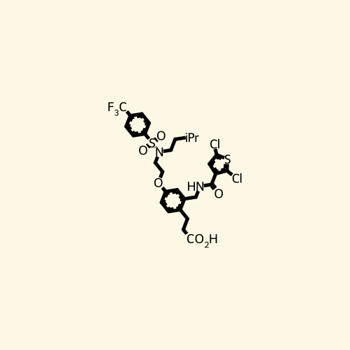 CC(C)CCN(CCOc1ccc(CCC(=O)O)c(CNC(=O)c2cc(Cl)sc2Cl)c1)S(=O)(=O)c1ccc(C(F)(F)F)cc1